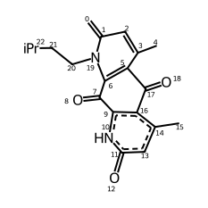 C=C1C=C(C)C2=C(C(=O)c3[nH]c(=O)cc(C)c3C2=O)N1CCC(C)C